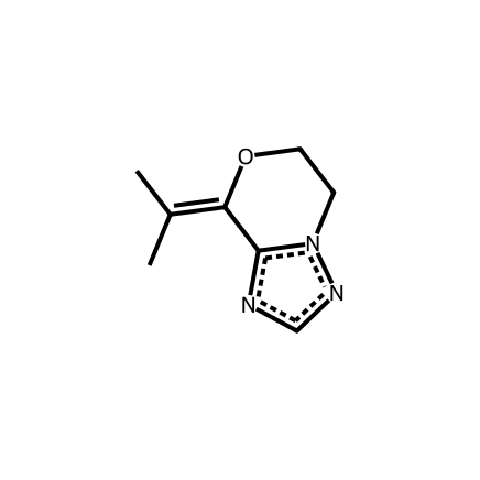 CC(C)=C1OCCn2ncnc21